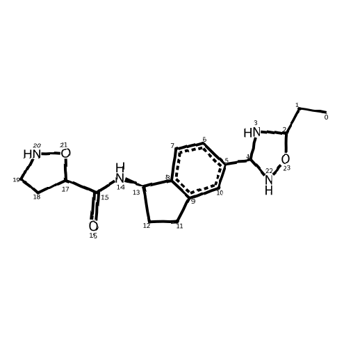 CCC1NC(c2ccc3c(c2)CC[C@H]3NC(=O)C2CCNO2)NO1